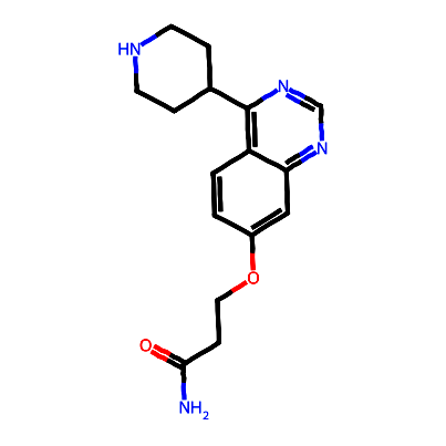 NC(=O)CCOc1ccc2c(C3CCNCC3)ncnc2c1